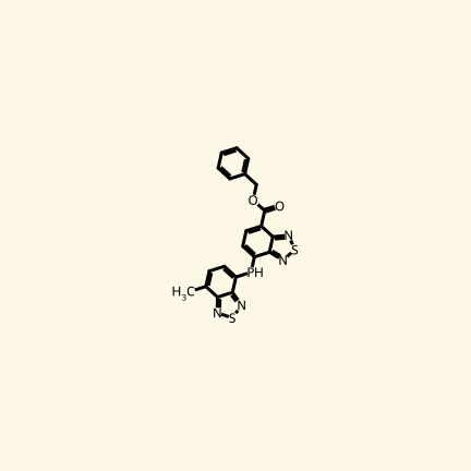 Cc1ccc(Pc2ccc(C(=O)OCc3ccccc3)c3nsnc23)c2nsnc12